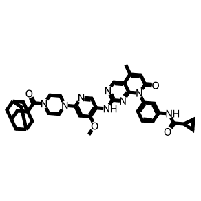 COc1cc(N2CCN(C(=O)C34CC5CC(CC(C5)C3)C4)CC2)ncc1Nc1ncc2c(C)cc(=O)n(-c3cccc(NC(=O)C4CC4)c3)c2n1